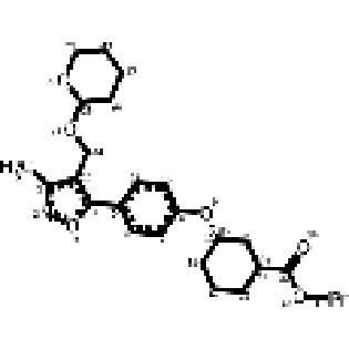 Cc1noc(-c2ccc(O[C@H]3CCC[C@H](C(=O)OC(C)C)C3)cc2)c1COC1CCCCO1